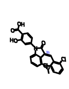 COc1cccc2c1/C(=C\c1c(Cl)cccc1Cl)C(=O)N2c1ccc(C(=O)O)c(O)c1